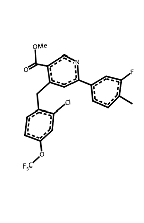 COC(=O)c1cnc(-c2ccc(C)c(F)c2)cc1Cc1ccc(OC(F)(F)F)cc1Cl